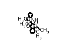 COc1ccccc1NC(=O)c1c(OC)c2ccccc2n(CC(C)C)c1=O